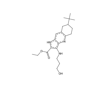 CCOC(=O)c1[nH]c2cc3c(nc2c1NCCCO)CCC(C(C)(C)C)C3